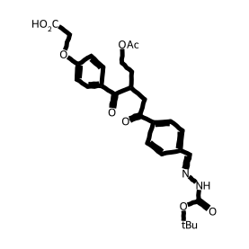 CC(=O)OCCC(CC(=O)c1ccc(C=NNC(=O)OC(C)(C)C)cc1)C(=O)c1ccc(OCC(=O)O)cc1